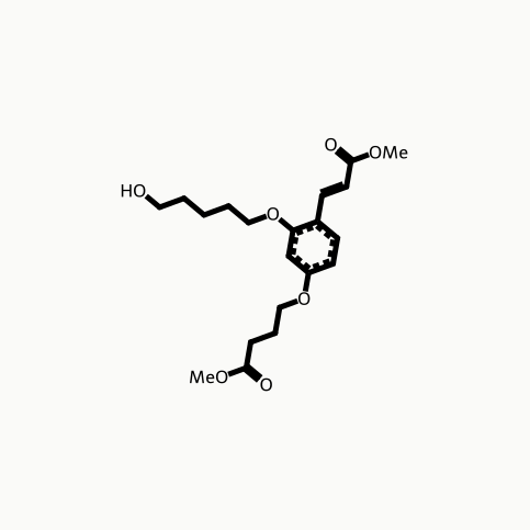 COC(=O)/C=C/c1ccc(OCCCC(=O)OC)cc1OCCCCCO